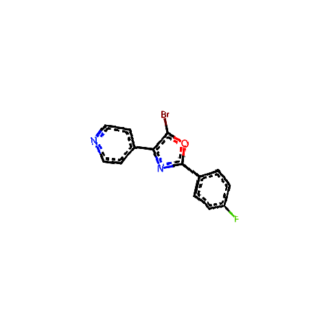 Fc1ccc(-c2nc(-c3ccncc3)c(Br)o2)cc1